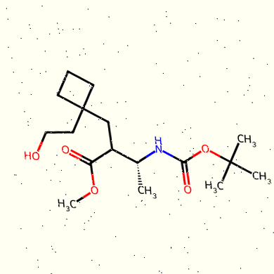 COC(=O)C(CC1(CCO)CCC1)[C@@H](C)NC(=O)OC(C)(C)C